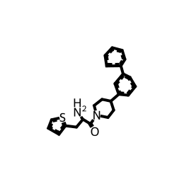 NC(Cc1cccs1)C(=O)N1CCC(c2cccc(-c3ccccc3)c2)CC1